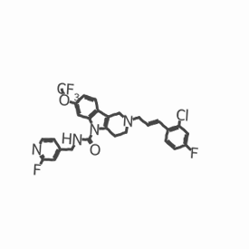 O=C(NCc1ccnc(F)c1)n1c2c(c3ccc(OC(F)(F)F)cc31)CN(CC=Cc1ccc(F)cc1Cl)CC2